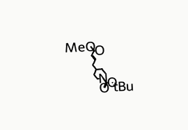 COC(=O)C=CCC1CCN(C(=O)OC(C)(C)C)CC1